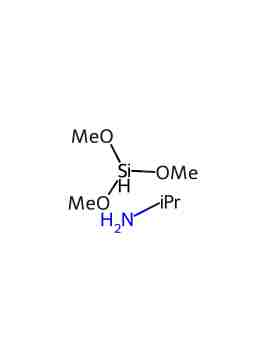 CC(C)N.CO[SiH](OC)OC